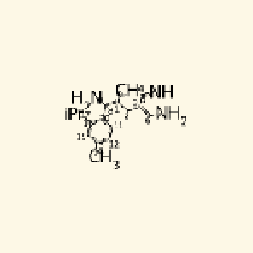 C/C(C/C(C=N)=C/N)=C(\N)c1ccc(C)cc1C(C)C